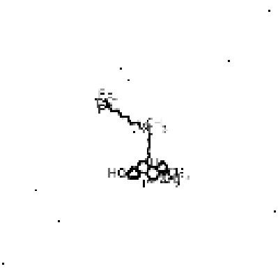 CN(CCCCCCCC(F)(F)C(F)(F)F)CCCCCC1Cc2cc(O)ccc2C2[C@@H]1C1CC[C@@](C)(O)[C@@]1(C)C[C@@H]2F